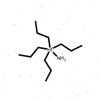 CC[CH2][Hf]([NH2])([CH2]CC)([CH2]CC)[CH2]CC